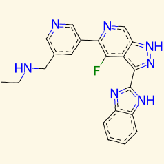 CCNCc1cncc(-c2ncc3[nH]nc(-c4nc5ccccc5[nH]4)c3c2F)c1